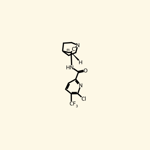 O=C(N[C@@H]1CC2CCN(CC2)C1)c1ccc(C(F)(F)F)c(Cl)n1